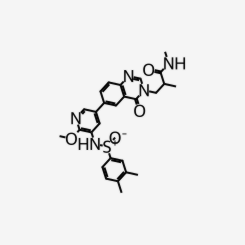 CNC(=O)C(C)Cn1cnc2ccc(-c3cnc(OC)c(N[S+]([O-])c4ccc(C)c(C)c4)c3)cc2c1=O